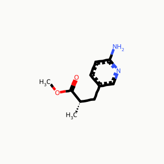 COC(=O)[C@@H](C)Cc1ccc(N)nc1